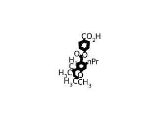 CCCc1cc2c(cc1C(=O)Oc1ccc(C(=O)O)cc1)C(C)(C)CC(C)(C)O2